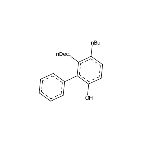 CCCCCCCCCCc1c(CCCC)ccc(O)c1-c1ccccc1